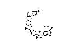 CCSc1ccc(C(F)(F)OC2CCC(C(F)(F)OC3CCC(C(F)(F)Oc4cc(F)c(C(F)(F)F)c(F)c4)CC3)CC2)cc1